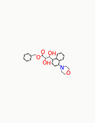 O=C(OCc1ccccc1)[C@H](O)[C@@H](O)c1ccc(N2CCOCC2)c2ccccc12